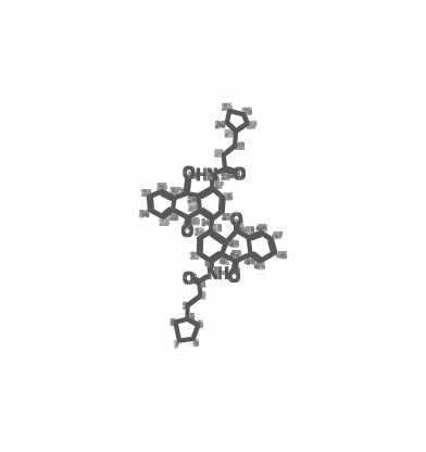 O=C(CCC1CCCC1)Nc1ccc(-c2ccc(NC(=O)CCC3CCCC3)c3c2C(=O)c2ccccc2C3=O)c2c1C(=O)c1ccccc1C2=O